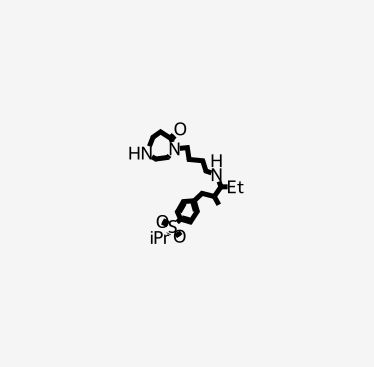 CCC(NCCCCN1CCNCCC1=O)C(C)Cc1ccc(S(=O)(=O)C(C)C)cc1